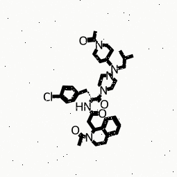 CC(=O)N1CCC(N(CC(C)C)N2CCN(C(=O)[C@@H](Cc3ccc(Cl)cc3)NC(=O)CC3c4ccccc4CCN3C(C)=O)CC2)CC1